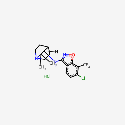 CC1(C)[C@H](Nc2noc3c(C(F)(F)F)c(Cl)ccc23)C2CCN1CC2.Cl